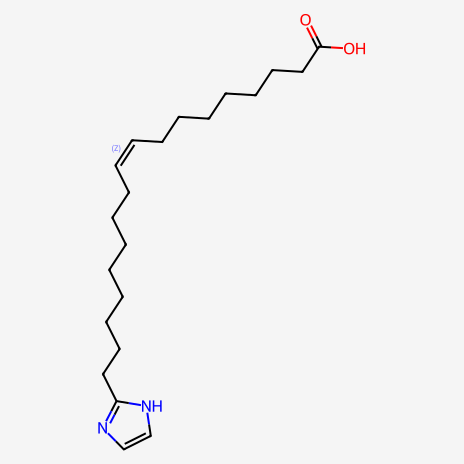 O=C(O)CCCCCCC/C=C\CCCCCCCCc1ncc[nH]1